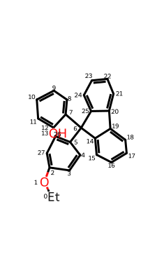 CCOc1ccc(C2(c3ccccc3O)c3ccccc3-c3ccccc32)cc1